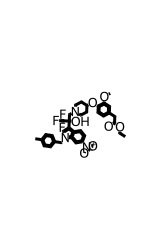 CCOC(=O)Cc1ccc(OC2CCN(CC(O)(c3cn(Cc4ccc(C)cc4)c4cc([N+](=O)[O-])ccc34)C(F)(F)F)CC2)c(OC)c1